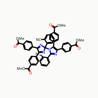 COC(=O)c1ccc(C2=NC(c3ccccc3C#N)(n3c(-c4ccccc4C#N)nc(-c4ccc(C(=O)OC)cc4)c3-c3ccc(C(=O)OC)cc3)N=C2c2ccc(C(=O)OC)cc2)cc1